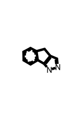 C1=N[N]C2=C1Cc1ccccc12